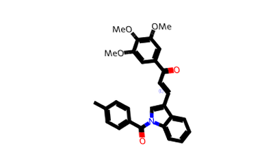 COc1cc(C(=O)/C=C/c2cn(C(=O)c3ccc(C)cc3)c3ccccc23)cc(OC)c1OC